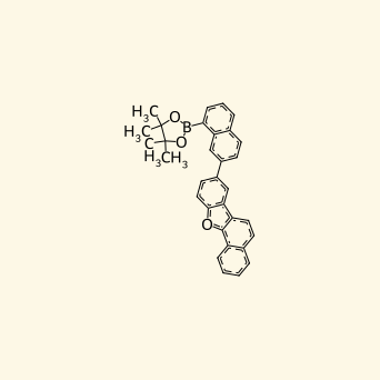 CC1(C)OB(c2cccc3ccc(-c4ccc5oc6c7ccccc7ccc6c5c4)cc23)OC1(C)C